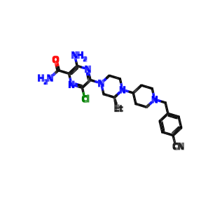 CC[C@H]1CN(c2nc(N)c(C(N)=O)nc2Cl)CCN1C1CCN(Cc2ccc(C#N)cc2)CC1